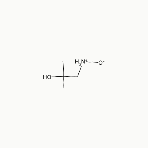 CC(C)(O)C[NH2+][O-]